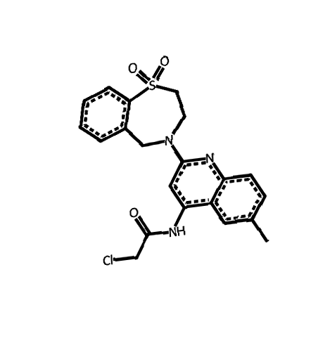 Cc1ccc2nc(N3CCS(=O)(=O)c4ccccc4C3)cc(NC(=O)CCl)c2c1